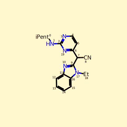 CCCC(C)Nc1nccc(C(C#N)c2nc3ccccc3n2CC)n1